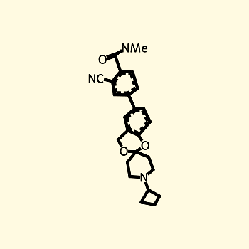 CNC(=O)c1ccc(-c2ccc3c(c2)COC2(CCN(C4CCC4)CC2)O3)cc1C#N